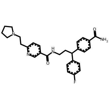 NC(=O)c1ccc(C(CCNC(=O)c2ccc(CCN3CCCC3)nc2)c2ccc(F)cc2)cc1